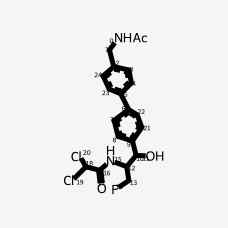 CC(=O)NCc1ccc(-c2ccc(C(O)C(CF)NC(=O)C(Cl)Cl)cc2)cc1